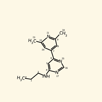 CCCNc1cc(-c2cc(C)nc(C)c2)ncn1